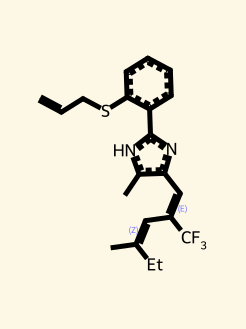 C=CCSc1ccccc1-c1nc(/C=C(\C=C(\C)CC)C(F)(F)F)c(C)[nH]1